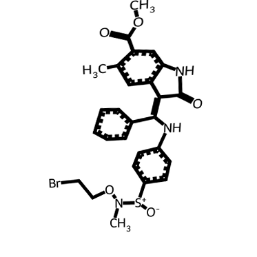 COC(=O)c1cc2c(cc1C)/C(=C(/Nc1ccc([S+]([O-])N(C)OCCBr)cc1)c1ccccc1)C(=O)N2